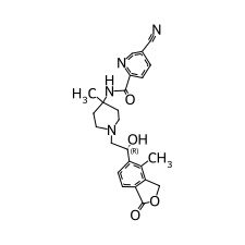 Cc1c([C@@H](O)CN2CCC(C)(NC(=O)c3ccc(C#N)cn3)CC2)ccc2c1COC2=O